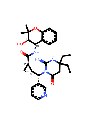 CCC1(CC)CC(=O)N([C@H](c2cccnc2)[C@@H]2C[C@H]2C(=O)N[C@H]2c3ccccc3OC(C)(C)[C@@H]2O)C(=N)N1